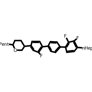 CCCCCCCc1ccc(-c2ccc(-c3ccc(C4CCC(CCCCC)OC4)cc3F)cc2)c(F)c1F